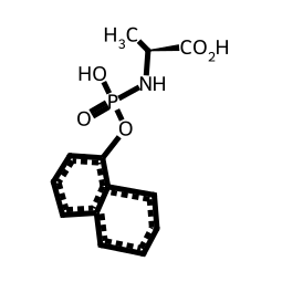 C[C@H](NP(=O)(O)Oc1cccc2ccccc12)C(=O)O